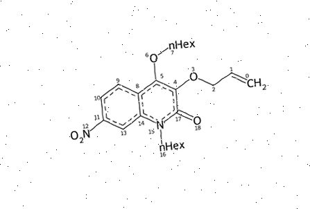 C=CCOc1c(OCCCCCC)c2ccc([N+](=O)[O-])cc2n(CCCCCC)c1=O